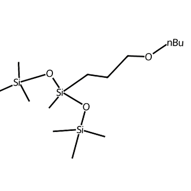 CCCCOCCC[Si](C)(O[Si](C)(C)C)O[Si](C)(C)C